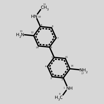 CNc1ccc(-c2ccc(NC)c(N)c2)cc1N